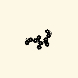 c1ccc(-c2cc(-n3c4ccccc4c4cc(-c5ccc6oc7ccccc7c6c5)ccc43)cc(-n3c4ccccc4c4cc(-c5ccc6oc7ccccc7c6c5)ccc43)c2)cc1